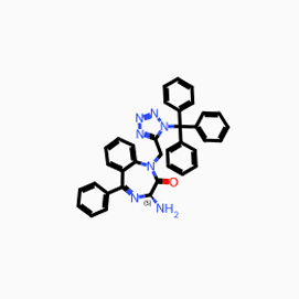 N[C@H]1N=C(c2ccccc2)c2ccccc2N(Cc2nnnn2C(c2ccccc2)(c2ccccc2)c2ccccc2)C1=O